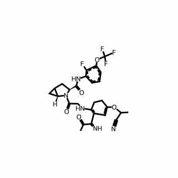 CC(=O)C(=N)C1=C(NCC(=O)N2[C@@H]3CC3C[C@H]2C(=O)Nc2cccc(OC(F)(F)F)c2F)CCC(OC(C)C#N)=C1